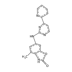 Cc1cc(Nc2nccc(-c3ccccn3)n2)cc2oc(=O)[nH]c12